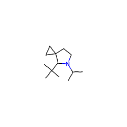 CC(C)N1CCC2(CC2)C1C(C)(C)C